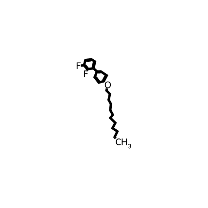 CCCCCCCCCCCCOc1ccc(-c2cccc(F)c2F)cc1